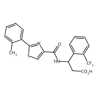 Cc1ccccc1-c1nc(C(=O)NC(CC(=O)O)c2ccccc2C(F)(F)F)cs1